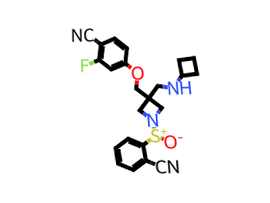 N#Cc1ccc(OCC2(CNC3CCC3)CN([S+]([O-])c3ccccc3C#N)C2)cc1F